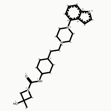 CC1(O)CN(C(=O)NC2CCC(CCN3CCN(c4cccc5sccc45)CC3)CC2)C1